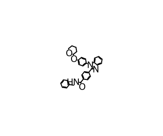 O=C(NCc1ccccc1)c1ccc(-c2nc3ccccc3n2-c2ccc(OC3CCCCO3)cc2)cc1